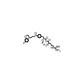 CCOC(Cc1ccc(NCCCN2CCOc3cc(F)ccc32)cc1)C(=O)OC(=O)[C@@H](N)CCCNC(=N)N